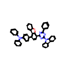 c1ccc(-c2nc(-c3ccc(-c4ccc(N(c5ccccc5)c5ccccc5)cc4)c4c3oc3ccccc34)nc(-n3c4ccccc4c4ccccc43)n2)cc1